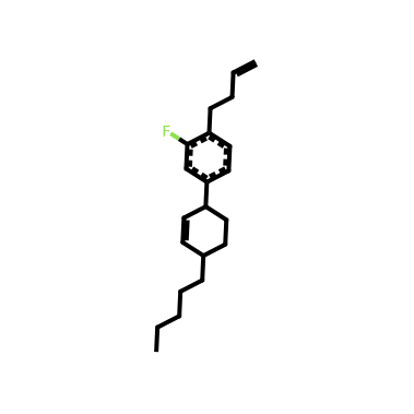 C=CCCc1ccc(C2C=CC(CCCCC)CC2)cc1F